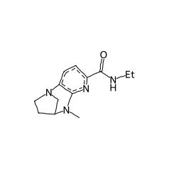 CCNC(=O)c1ccc2c(n1)N(C)C1CCN2C1